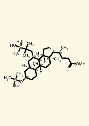 COC(=O)CC[C@@H](C)[C@H]1CC[C@H]2[C@@H]3[C@H](CC(C)(C)[Si](C)(C)O)C[C@@H]4C[C@H](O[Si](C)(C)C(C)(C)C)CC[C@]4(C)[C@H]3CC[C@]12C